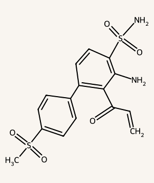 C=CC(=O)c1c(-c2ccc(S(C)(=O)=O)cc2)ccc(S(N)(=O)=O)c1N